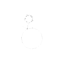 CC1(n2cccc2)CCCCCCCCCCC1